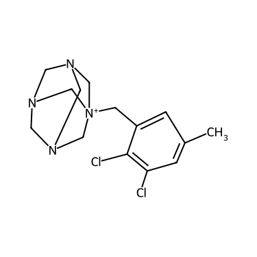 Cc1cc(Cl)c(Cl)c(C[N+]23CN4CN(CN(C4)C2)C3)c1